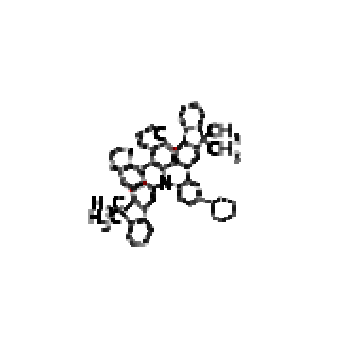 CC1(C)c2ccccc2-c2cc(N(c3ccc(C4CCCCC4)cc3-c3ccc4c(c3)C(C)(C)c3ccccc3-4)c3ccc4ccccc4c3-c3cccc4ccccc34)ccc21